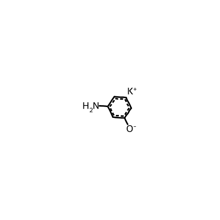 Nc1cccc([O-])c1.[K+]